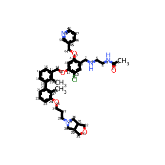 CC(=O)NCCNCc1cc(Cl)c(OCc2cccc(-c3cccc(OCCCN4CC5COCC5C4)c3C)c2C)cc1OCc1cccnc1